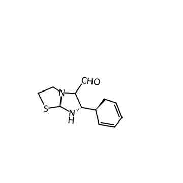 O=CC1[C@H]([C@@H]2C=CC=CC2)NC2SCCN21